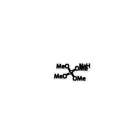 CO[Si](OC)(OC)OC.[NaH]